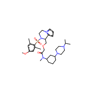 COc1cc(C)c(S(=O)(=O)N2CCn3cccc3C2COCC(=O)N(C)C2CCCC(N3CCN(C(C)C)CC3)C2)c(C)c1